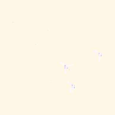 c1ccc(N(c2ccncc2)c2ccc3c4c(cccc24)-c2ccccc2-3)nc1